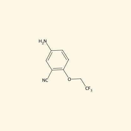 N#Cc1cc(N)ccc1OCC(F)(F)F